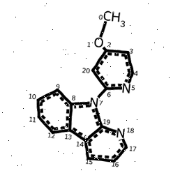 COc1ccnc(-n2c3ccccc3c3cccnc32)c1